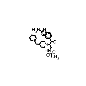 CS(=O)(=O)NCC(C(=O)c1ccc2nc(N)sc2c1)N1CCC(Cc2ccccc2)CC1